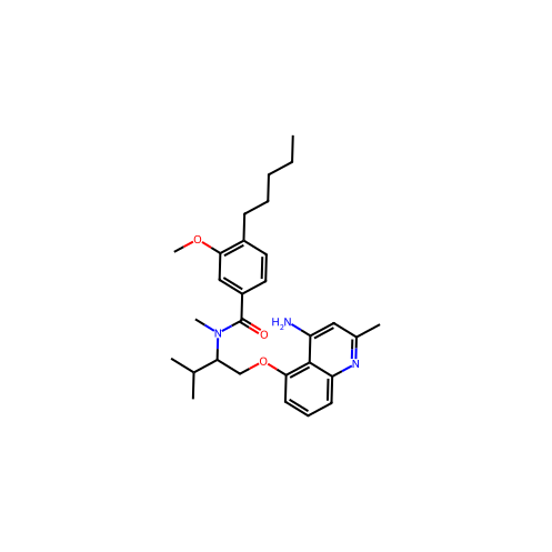 CCCCCc1ccc(C(=O)N(C)C(COc2cccc3nc(C)cc(N)c23)C(C)C)cc1OC